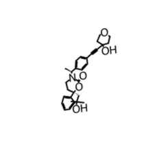 C[C@@H](c1ccc(C#CC2(O)CCOCC2)cc1)N1CC[C@](CC(C)(C)O)(c2ccccc2)OC1=O